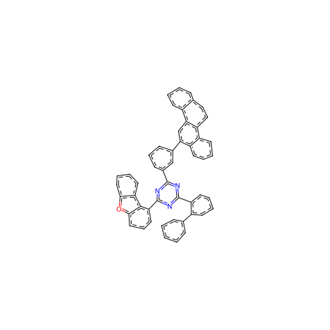 c1ccc(-c2ccccc2-c2nc(-c3cccc(-c4cc5c6ccccc6ccc5c5ccccc45)c3)nc(-c3cccc4oc5ccccc5c34)n2)cc1